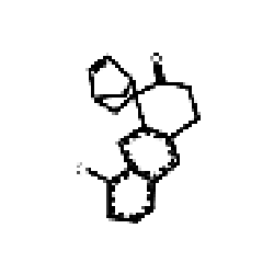 O=C1CCc2cc3cccc(Cl)c3cc2C12CC1C=CC2C1